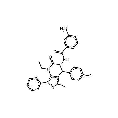 CCN1C(=O)[C@H](NC(=O)c2cccc(N)c2)C(c2ccc(F)cc2)c2c(C)nn(-c3ccccc3)c21